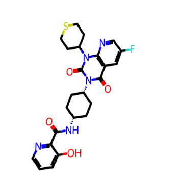 O=C(N[C@H]1CC[C@@H](n2c(=O)c3cc(F)cnc3n(C3CCSCC3)c2=O)CC1)c1ncccc1O